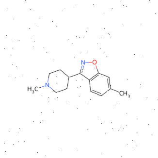 Cc1ccc2c(C3CCN(C)CC3)noc2c1